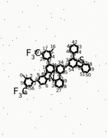 Cc1cc(-c2ccc3c(c2)c2cc(-c4cc(C)cc(C(F)(F)F)c4)ccc2n3-c2ccccc2-c2cccc(-c3cc(-c4ccccc4)c4sc5ccccc5c4c3)c2)cc(C(F)(F)F)c1